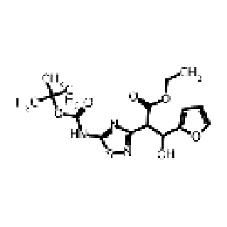 CCOC(=O)C(c1nsc(NC(=O)OC(C)(C)C)n1)C(O)c1ccco1